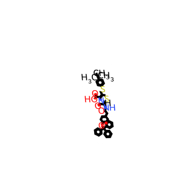 CC(C)(C)c1ccc(SCC2=C(C(=O)O)N3C(=O)C(NC(=O)CC4=CCC(OC(c5ccccc5)(c5ccccc5)c5ccccc5)=CC4)[C@H]3SC2)cc1